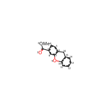 COC(=O)c1ccc2c(c1)Oc1ccccc1C2